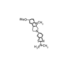 COc1ccc2c(c1)c1c(n2C)CN(c2ccc3nc(N(C)C)sc3c2)CC1